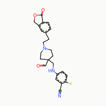 N#Cc1cc(NCC2(C=O)CCN(CCc3ccc4c(c3)COC4=O)CC2)ccc1F